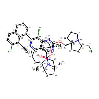 C#Cc1c(F)ccc2cccc(-c3nc4c5c(nc(OC[C@@]67CCCN6[C@H](CF)CC7)nc5c3F)N3C[C@H]5CC[C@@H]([C@H]3CC4)N5C(=O)OC(C)(C)C)c12